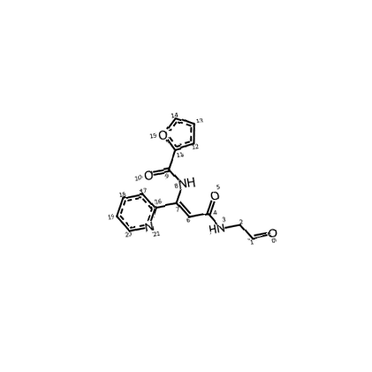 O=[C]CNC(=O)C=C(NC(=O)c1ccco1)c1ccccn1